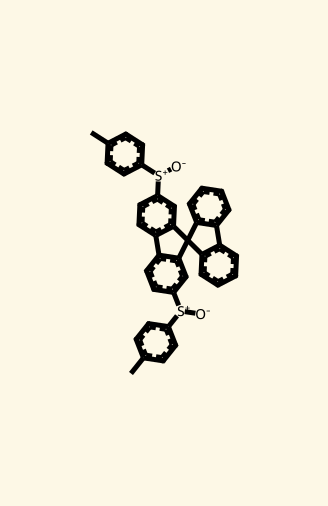 Cc1ccc([S+]([O-])c2ccc3c(c2)C2(c4ccccc4-c4ccccc42)c2cc([S+]([O-])c4ccc(C)cc4)ccc2-3)cc1